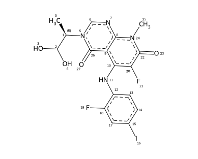 C[C@H](C(O)O)n1cnc2c(c(Nc3ccc(I)cc3F)c(F)c(=O)n2C)c1=O